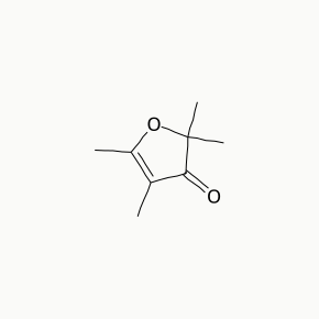 CC1=C(C)C(=O)C(C)(C)O1